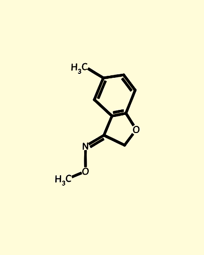 CON=C1COc2ccc(C)cc21